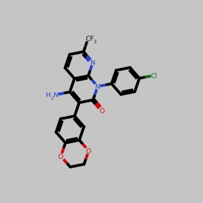 Nc1c(-c2ccc3c(c2)OCCO3)c(=O)n(-c2ccc(Cl)cc2)c2nc(C(F)(F)F)ccc12